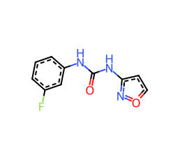 O=C(Nc1cccc(F)c1)Nc1ccon1